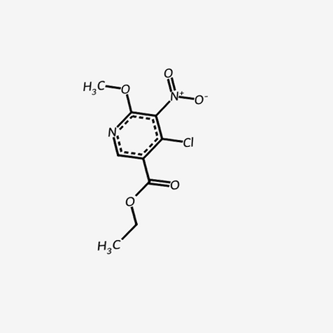 CCOC(=O)c1cnc(OC)c([N+](=O)[O-])c1Cl